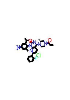 C=CC(=O)N1CCN(c2nc(=O)n(-c3c(C)cc(N(C)C)cc3C(C)C)c3nc(-c4ccccc4F)c(Cl)cc23)[C@@H](C)C1